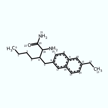 CCCCC(Cc1ccc2cc(CC)ccc2c1)C(N)C(N)=O